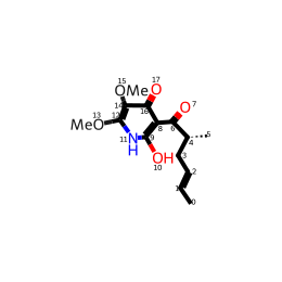 CC=CC[C@@H](C)C(=O)c1c(O)[nH]c(OC)c(OC)c1=O